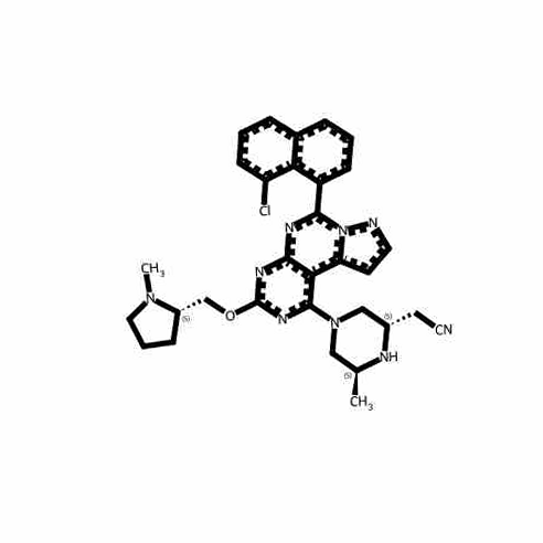 C[C@H]1CN(c2nc(OC[C@@H]3CCCN3C)nc3nc(-c4cccc5cccc(Cl)c45)n4nccc4c23)C[C@H](CC#N)N1